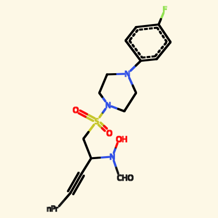 CCCC#CC(CS(=O)(=O)N1CCN(c2ccc(F)cc2)CC1)N(O)C=O